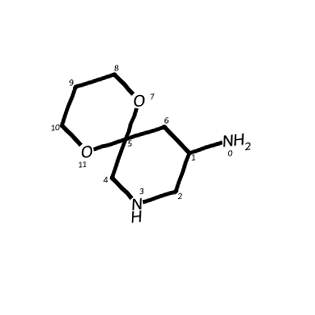 NC1CNCC2(C1)OCCCO2